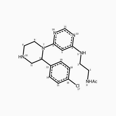 CC(=O)NCCNc1cc(N2CCNCC2c2ccc(Cl)cc2)ncn1